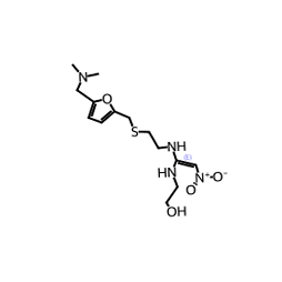 CN(C)Cc1ccc(CSCCN/C(=C/[N+](=O)[O-])NCCO)o1